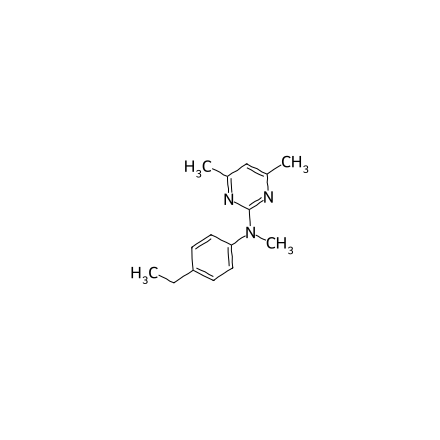 CCc1ccc(N(C)c2nc(C)cc(C)n2)cc1